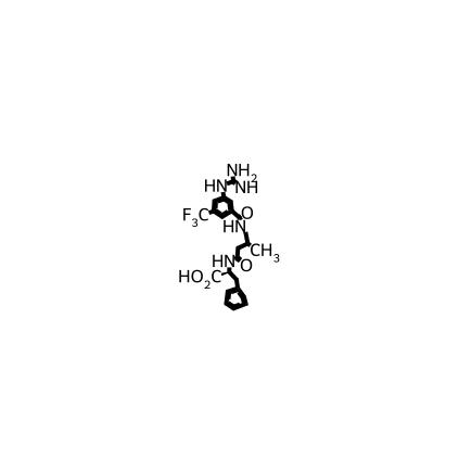 CC(CNC(=O)c1cc(NC(=N)N)cc(C(F)(F)F)c1)CC(=O)N[C@@H](Cc1ccccc1)C(=O)O